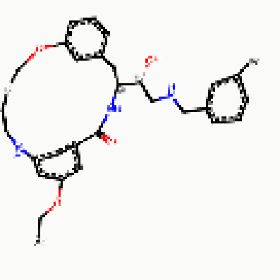 CC(=O)COc1cc2cc(c1)C(=O)N[C@H]([C@H](O)CNCc1cccc(C(C)C)c1)Cc1cccc(c1)OCCCCN2